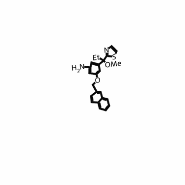 CCC(OC)(c1cc(N)cc(OCc2ccc3ccccc3c2)c1)c1nccs1